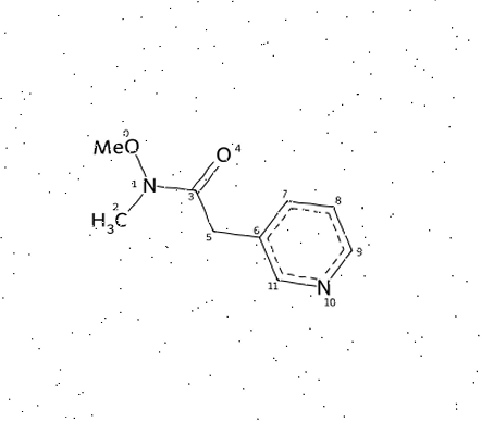 CON(C)C(=O)Cc1cccnc1